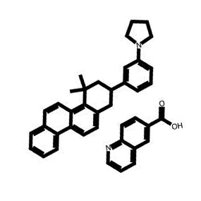 CC1(C)CC(c2cccc(N3CCCC3)c2)Cc2ccc3c(ccc4ccccc43)c21.O=C(O)c1ccc2ncccc2c1